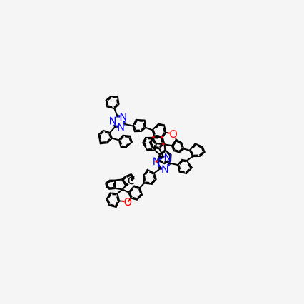 c1ccc(-c2nc(-c3ccc(-c4ccc5c(c4)C4(c6ccccc6O5)c5ccccc5-c5ccccc54)cc3)nc(-c3cccc(-c4ccccc4-c4ccc5c(c4)Oc4ccc(-c6ccc(-c7nc(-c8ccccc8)nc(-c8ccccc8-c8ccccc8)n7)cc6)cc4C54c5ccccc5-c5ccccc54)c3)n2)cc1